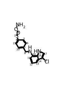 NOOSc1ccc(CNc2cccc3c(Cl)c[nH]c23)cc1